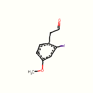 COc1ccc(CC=O)c(I)c1